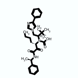 CCCC[C@@H](C(=O)C(=O)N[C@H](C)c1ccccc1)N(C(=O)O)C(Cn1cnc(-c2ccccc2)c1)C(C)(C)C